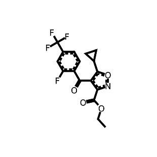 CCOC(=O)c1noc(C2CC2)c1C(=O)c1ccc(C(F)(F)F)cc1F